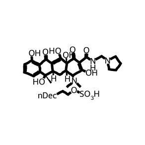 CCCCCCCCCCCCOS(=O)(=O)O.CN(C)[C@@H]1C(O)=C(C(=O)NCN2CCCC2)C(=O)[C@@]2(O)C(O)=C3C(=O)c4c(O)cccc4[C@@](C)(O)[C@H]3C[C@@H]12